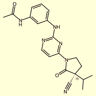 CC(=O)Nc1cccc(Nc2nccc(N3CC[C@@](C#N)(C(C)C)C3=O)n2)c1